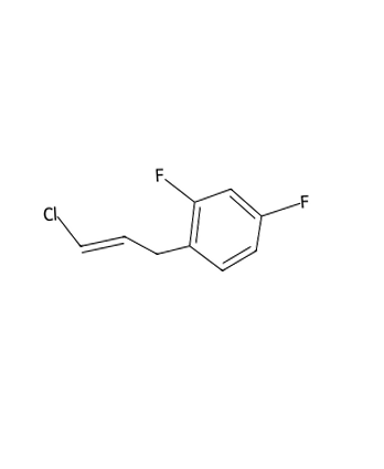 Fc1ccc(CC=CCl)c(F)c1